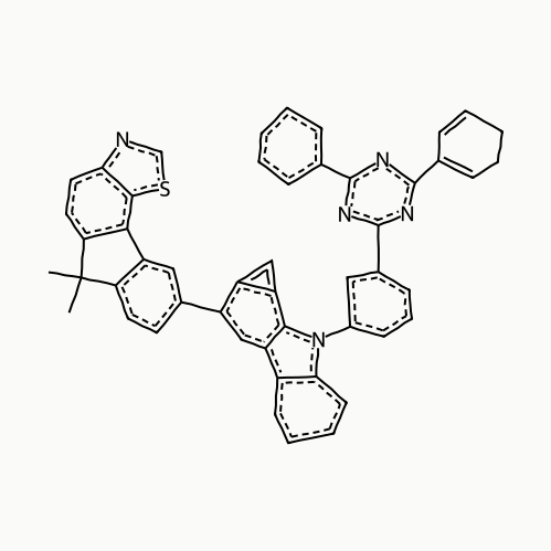 CC1(C)c2ccc(-c3cc4c5ccccc5n(-c5cccc(-c6nc(C7=CCCC=C7)nc(-c7ccccc7)n6)c5)c4c4c3=C=4)cc2-c2c1ccc1ncsc21